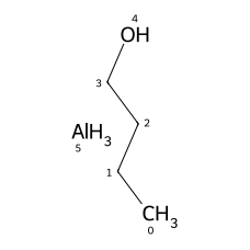 CCCCO.[AlH3]